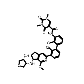 COc1nc(-c2cccc(-c3cccc(NC(=O)c4cn(C)c(=O)n(C)c4=O)c3Cl)c2Cl)cc2c1[C@H](N[C@@H]1COC[C@@H]1O)CC2